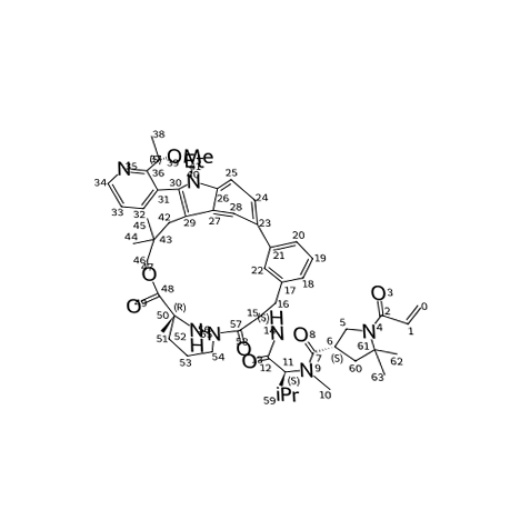 C=CC(=O)N1C[C@@H](C(=O)N(C)[C@H](C(=O)N[C@H]2Cc3cccc(c3)-c3ccc4c(c3)c(c(-c3cccnc3[C@H](C)OC)n4CC)CC(C)(C)COC(=O)[C@@]3(C)CCCN(N3)C2=O)C(C)C)CC1(C)C